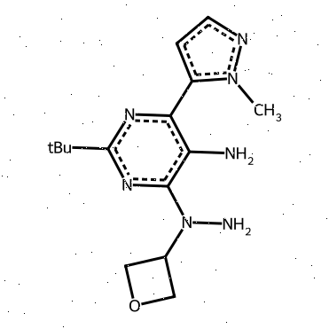 Cn1nccc1-c1nc(C(C)(C)C)nc(N(N)C2COC2)c1N